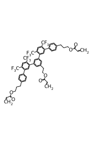 C=CC(=O)OCCCc1ccc(-c2cc(-c3cc(CCOC(=O)C=C)cc(-c4cc(-c5ccc(CCCOC(=O)C=C)cc5)c(C(F)(F)F)cc4C(F)(F)F)c3)c(C(F)(F)F)cc2C(F)(F)F)cc1